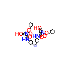 O=C(Nc1ccc(/C=C\c2ccc(NC(=O)[C@@H]3C[C@@H](O)CN3C(=O)OCc3ccccc3)cc2)cc1)[C@@H]1C[C@@H](O)CN1C(=O)OCc1ccccc1